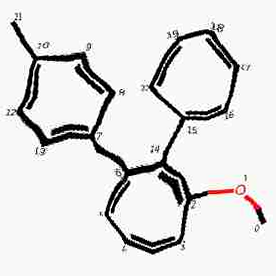 COc1[c]ccc(-c2ccc(C)cc2)c1-c1ccccc1